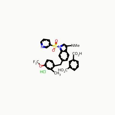 CNc1cn(S(=O)(=O)c2cccnc2)c2cc(Cc3ccc(OC(F)(F)F)cc3C)ccc12.Cl.O=C(O)c1cccc(C(=O)O)c1